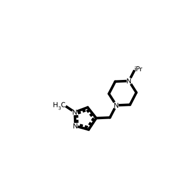 CC(C)N1CCN(Cc2cnn(C)c2)CC1